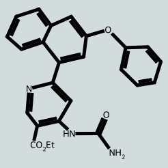 CCOC(=O)c1cnc(-c2cc(Oc3ccccc3)cc3ccccc23)cc1NC(N)=O